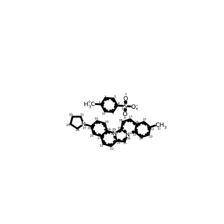 Cc1ccc(S(=O)(=O)[O-])cc1.Cc1ccc2c(ccc3n4c(ccc5cc(N6CCCC6)ccc54)c[n+]23)c1